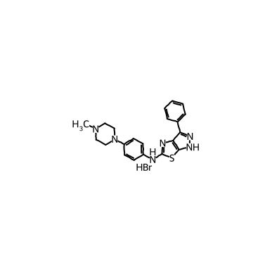 Br.CN1CCN(c2ccc(Nc3nc4c(-c5ccccc5)n[nH]c4s3)cc2)CC1